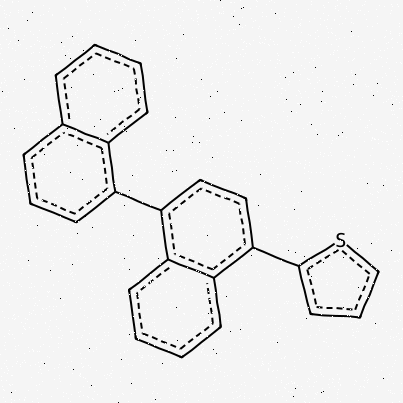 c1csc(-c2ccc(-c3cccc4ccccc34)c3ccccc23)c1